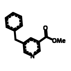 COC(=O)c1cncc(Cc2ccccc2)c1